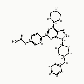 O=C(O)Cc1ccc(-c2nc(N3CCOCC3)c3cnn(C4CCN(Cc5ccccc5)CC4)c3n2)cc1